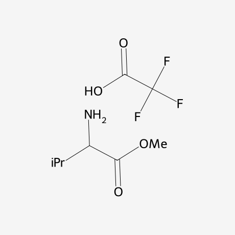 COC(=O)C(N)C(C)C.O=C(O)C(F)(F)F